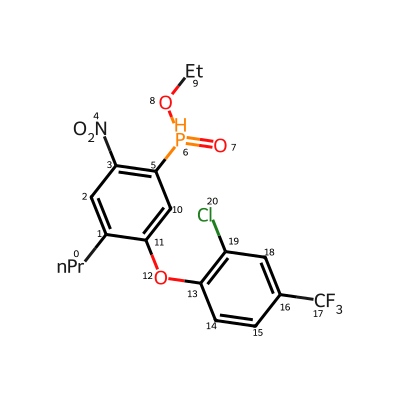 CCCc1cc([N+](=O)[O-])c([PH](=O)OCC)cc1Oc1ccc(C(F)(F)F)cc1Cl